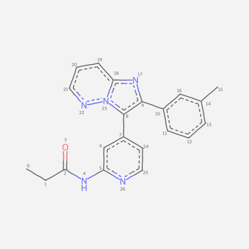 CCC(=O)Nc1cc(-c2c(-c3cccc(C)c3)nc3cccnn23)ccn1